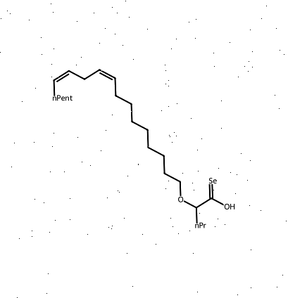 CCCCC/C=C\C/C=C\CCCCCCCCOC(CCC)C(O)=[Se]